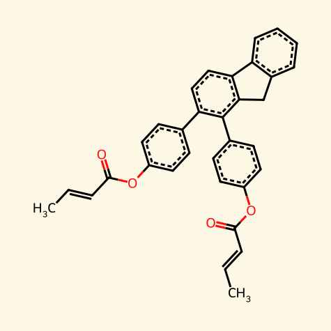 CC=CC(=O)Oc1ccc(-c2ccc3c(c2-c2ccc(OC(=O)C=CC)cc2)Cc2ccccc2-3)cc1